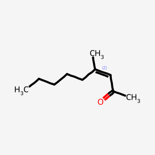 CCCCC/C(C)=C\C(C)=O